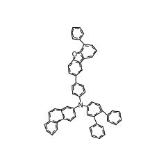 c1ccc(-c2ccc(N(c3ccc(-c4ccc5oc6c(-c7ccccc7)cccc6c5c4)cc3)c3ccc4c(ccc5ccccc54)c3)cc2-c2ccccc2)cc1